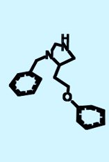 c1ccc(CN2CNCC2CCOc2ccccc2)cc1